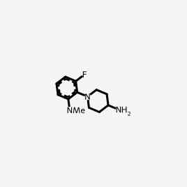 CNc1cccc(F)c1N1CCC(N)CC1